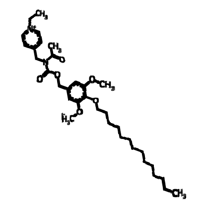 CCCCCCCCCCCCCCOc1c(OC)cc(COC(=O)N(Cc2cc[n+](CC)cc2)C(C)=O)cc1OC.[I-]